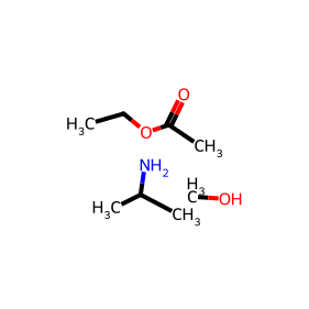 CC(C)N.CCOC(C)=O.CO